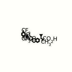 C[C@H](C(=O)O)[C@H](c1ccc2c(c1)OC1(CC2)CCN(S(=O)(=O)c2cc(C(F)(F)F)ccc2C(F)(F)F)CC1)C1CC1